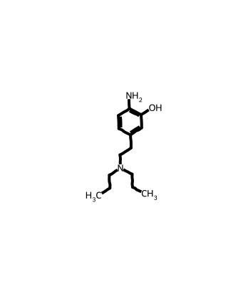 CCCN(CCC)CCc1ccc(N)c(O)c1